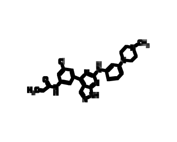 C=CC(=O)Nc1cc(Cl)cc(-c2nc(Nc3cccc(N4CCN(C)CC4)c3)nc3[nH]ncc23)c1